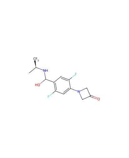 C[C@H](NC(O)c1cc(F)c(N2CC(=O)C2)cc1F)C(F)(F)F